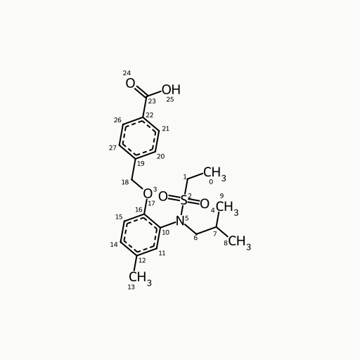 CCS(=O)(=O)N(CC(C)C)c1cc(C)ccc1OCc1ccc(C(=O)O)cc1